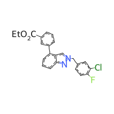 CCOC(=O)c1cccc(-c2cccc3nn(Cc4ccc(F)c(Cl)c4)cc23)c1